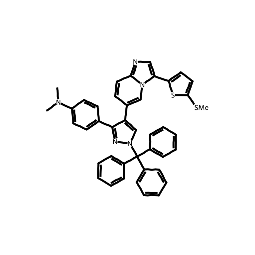 CSc1ccc(-c2cnc3ccc(-c4cn(C(c5ccccc5)(c5ccccc5)c5ccccc5)nc4-c4ccc(N(C)C)cc4)cn23)s1